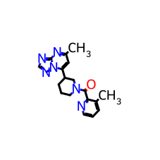 Cc1cc(C2CCCN(C(=O)c3ncccc3C)C2)n2ncnc2n1